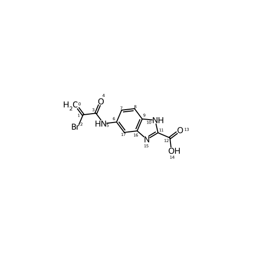 C=C(Br)C(=O)Nc1ccc2[nH]c(C(=O)O)nc2c1